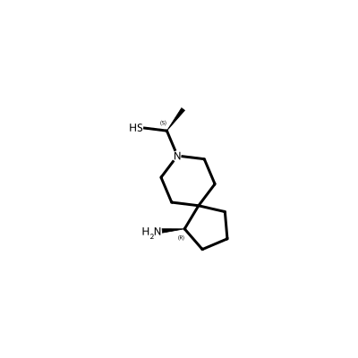 C[C@H](S)N1CCC2(CCC[C@H]2N)CC1